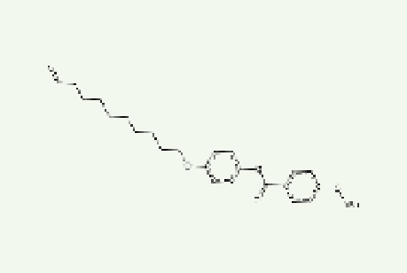 C=CCCCCCCCCCOc1ccc(OC(=O)c2ccc(OCCCC)cc2)cc1